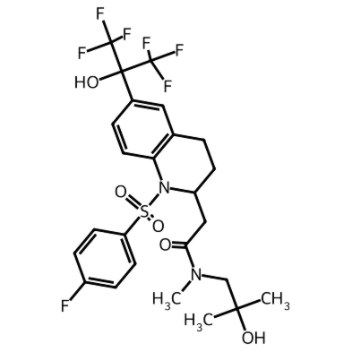 CN(CC(C)(C)O)C(=O)CC1CCc2cc(C(O)(C(F)(F)F)C(F)(F)F)ccc2N1S(=O)(=O)c1ccc(F)cc1